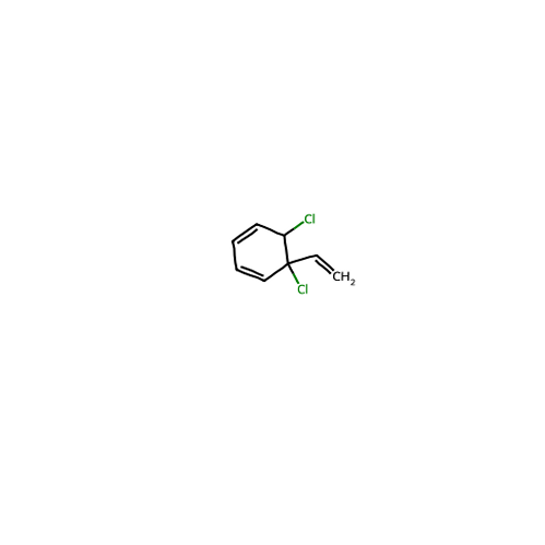 C=CC1(Cl)C=CC=CC1Cl